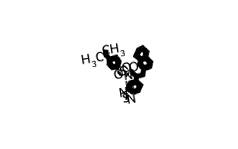 CC(C)c1ccc(S(=O)(=O)NC(=O)C(Cc2ccc3ccccc3c2)c2ccc3nsnc3c2)cc1